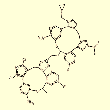 CCn1nc(Cl)c2c1-c1cnc(N)c(c1)OC(C)c1cc(F)cnc1-c1nn(CCC3Oc4cc(cnc4N)-c4c(cnn4CC4CC4)Cc4cn(C(F)F)nc4-c4ccc(F)cc43)cc1C2